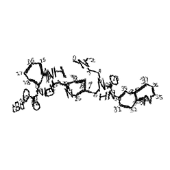 CN(C)CCN(Cc1ccc(C(=O)Nc2ccccc2NC(=O)OC(C)(C)C)nc1)C(=O)Nc1ccc2ncccc2c1